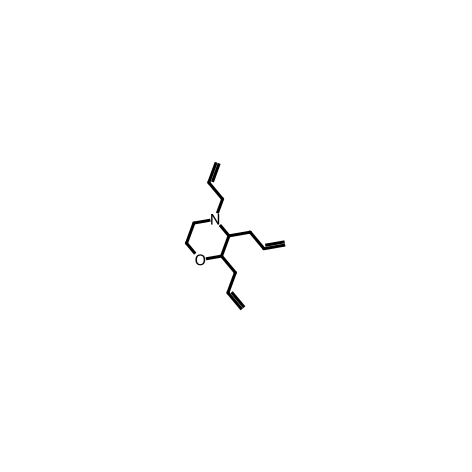 C=CCC1OCCN(CC=C)C1CC=C